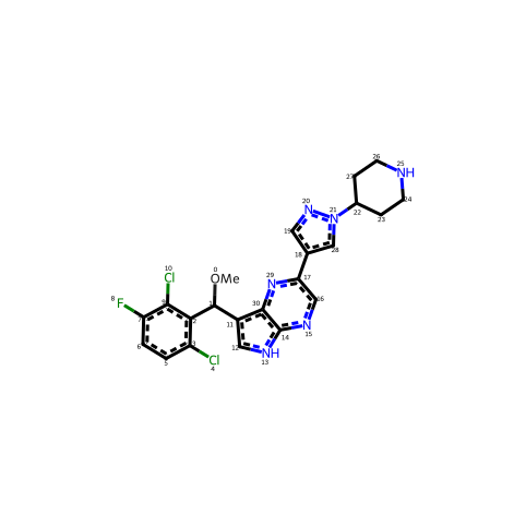 COC(c1c(Cl)ccc(F)c1Cl)c1c[nH]c2ncc(-c3cnn(C4CCNCC4)c3)nc12